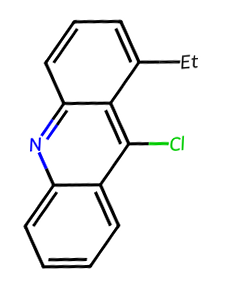 CCc1cccc2nc3ccccc3c(Cl)c12